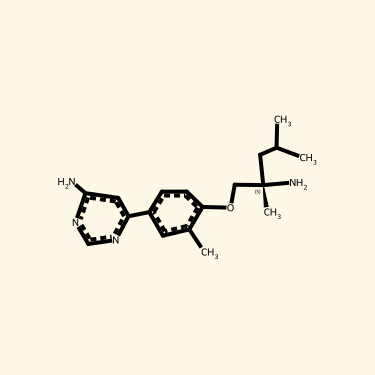 Cc1cc(-c2cc(N)ncn2)ccc1OC[C@@](C)(N)CC(C)C